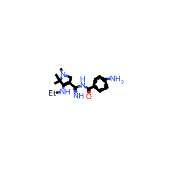 CCNC1=C(C(=N)NC(=O)c2ccc(N)cc2)CN(C)C1(C)C